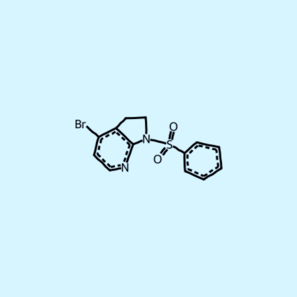 O=S(=O)(c1ccccc1)N1CCc2c(Br)ccnc21